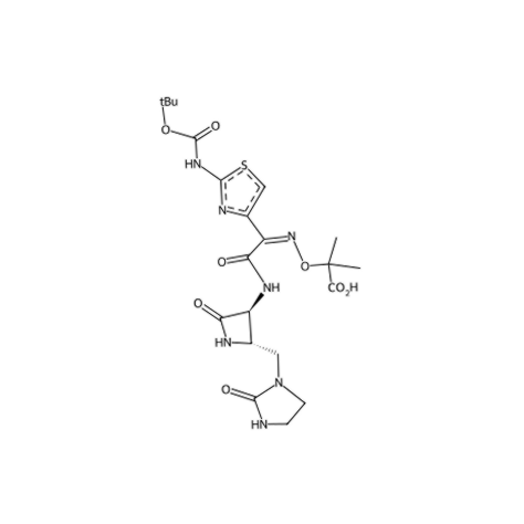 CC(C)(C)OC(=O)Nc1nc(C(=NOC(C)(C)C(=O)O)C(=O)N[C@@H]2C(=O)N[C@H]2CN2CCNC2=O)cs1